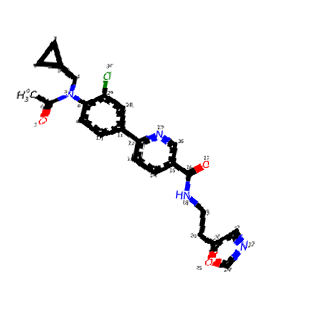 CC(=O)N(CC1CC1)c1ccc(-c2ccc(C(=O)NCCc3cnco3)cn2)cc1Cl